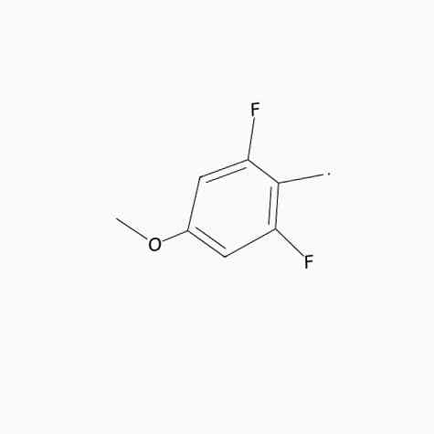 [CH2]c1c(F)cc(OC)cc1F